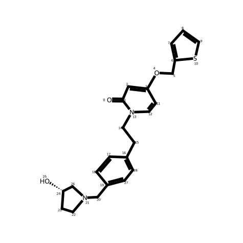 O=c1cc(OCc2cccs2)ccn1CCc1ccc(CN2CC[C@H](O)C2)cc1